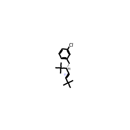 CC(C)(C)/C=C/[C@@H](Cc1cccc(Cl)c1)C(C)(C)C